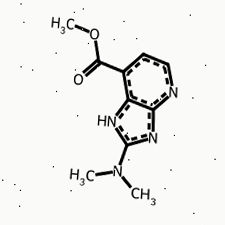 COC(=O)c1ccnc2nc(N(C)C)[nH]c12